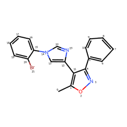 Cc1onc(-c2ccccc2)c1-c1cn(-c2ccccc2Br)cn1